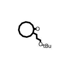 CC(C)(C)OCCCC1CCCCCCCCCCC1=O